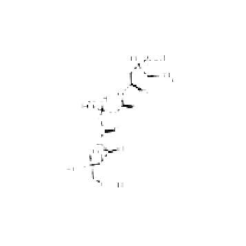 O=C(O)CC(O)(CC(=O)OC(=O)CC(O)(CC(=O)OC(=O)CC(O)(CC(=O)O)C(=O)O)C(=O)O)C(=O)O